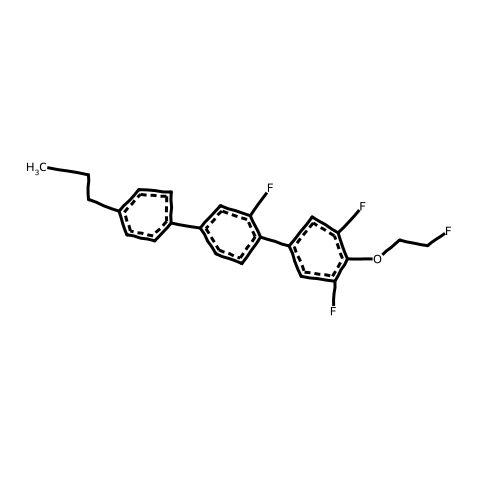 CCCc1ccc(-c2ccc(-c3cc(F)c(OCCF)c(F)c3)c(F)c2)cc1